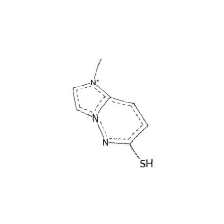 C[n+]1ccn2nc(S)ccc21